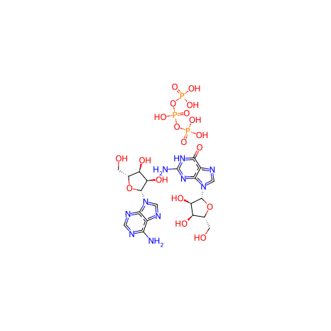 Nc1nc2c(ncn2[C@@H]2O[C@H](CO)[C@@H](O)[C@H]2O)c(=O)[nH]1.Nc1ncnc2c1ncn2[C@@H]1O[C@H](CO)[C@@H](O)[C@H]1O.O=P(O)(O)OP(=O)(O)OP(=O)(O)O